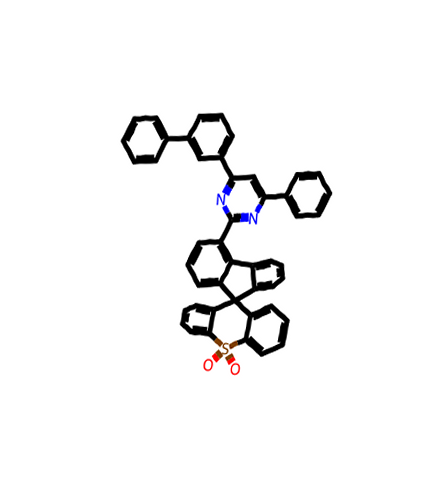 O=S1(=O)c2ccccc2C2(c3ccccc3-c3c(-c4nc(-c5ccccc5)cc(-c5cccc(-c6ccccc6)c5)n4)cccc32)c2ccccc21